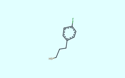 Fc1ccc(CCCS)cc1